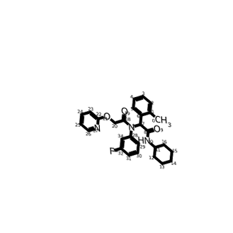 Cc1ccccc1C(C(=O)NC1CCCCC1)N(C(=O)COc1ccccn1)c1cccc(F)c1